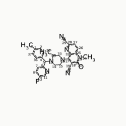 Cc1ccc(C(c2ccc(F)cn2)N2CCN(c3c(C#N)c(=O)n(C)c4ccc(C#N)nc34)C[C@H]2C)cc1